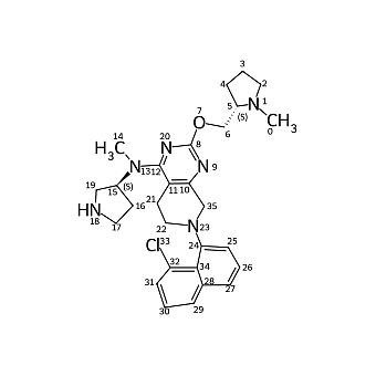 CN1CCC[C@H]1COc1nc2c(c(N(C)[C@H]3CCNC3)n1)CCN(c1cccc3cccc(Cl)c13)C2